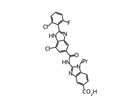 CC(C)n1c(NC(=O)c2cc(Cl)c3[nH]c(-c4c(F)cccc4Cl)nc3c2)nc2cc(C(=O)O)ccc21